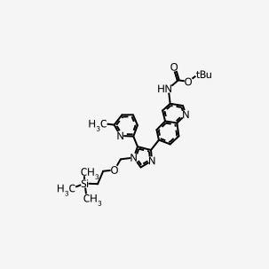 Cc1cccc(-c2c(-c3ccc4ncc(NC(=O)OC(C)(C)C)cc4c3)ncn2COCC[Si](C)(C)C)n1